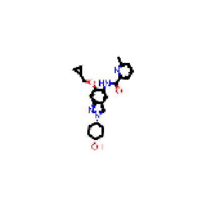 Cc1cccc(C(=O)Nc2cc3cn([C@H]4CC[C@@H](O)CC4)nc3cc2OCC2CC2)n1